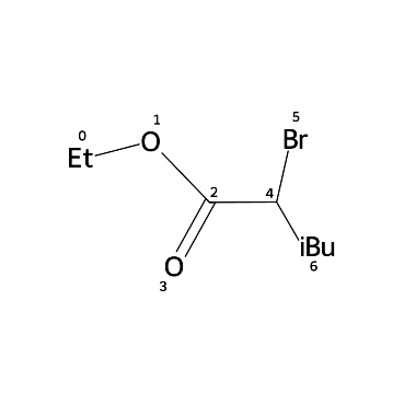 CCOC(=O)C(Br)C(C)CC